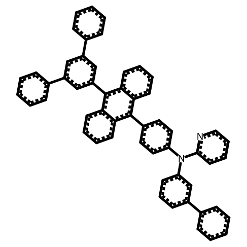 c1ccc(-c2cc(-c3ccccc3)cc(-c3c4ccccc4c(-c4ccc(N(c5cccc(-c6ccccc6)c5)c5ccccn5)cc4)c4ccccc34)c2)cc1